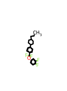 CCCC1CCC(c2ccc(C(F)(F)Oc3ccc(F)c(F)c3)cc2)CC1